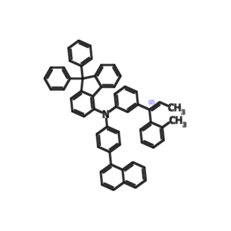 C/C=C(/c1cccc(N(c2ccc(-c3cccc4ccccc34)cc2)c2cccc3c2-c2ccccc2C3(c2ccccc2)c2ccccc2)c1)c1ccccc1C